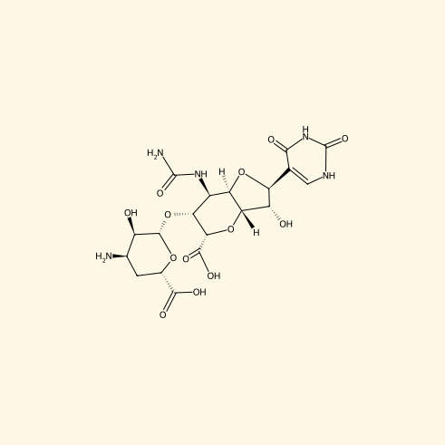 NC(=O)N[C@H]1[C@H]2O[C@@H](c3c[nH]c(=O)[nH]c3=O)[C@H](O)[C@@H]2O[C@H](C(=O)O)[C@@H]1O[C@@H]1O[C@H](C(=O)O)C[C@@H](N)[C@H]1O